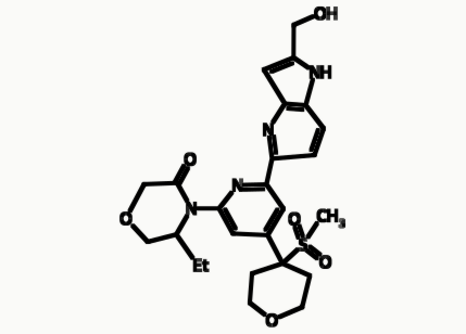 CCC1COCC(=O)N1c1cc(C2(S(C)(=O)=O)CCOCC2)cc(-c2ccc3[nH]c(CO)cc3n2)n1